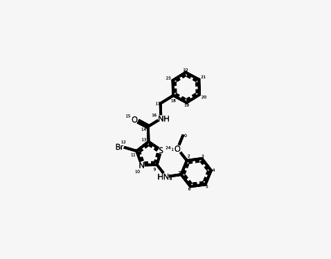 COc1ccccc1Nc1nc(Br)c(C(=O)NCc2ccccc2)s1